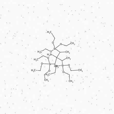 CCO[Si](OCC)(OCC)C(C)C([SiH3])(C(C)[Si](OCC)(OCC)OCC)C(C)[Si](OCC)(OCC)OCC